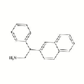 NCP(c1ccccc1)c1ccc2ccccc2c1